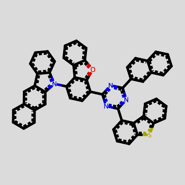 c1ccc2cc(-c3nc(-c4ccc(-n5c6ccccc6c6cc7ccccc7cc65)c5c4oc4ccccc45)nc(-c4cccc5sc6ccccc6c45)n3)ccc2c1